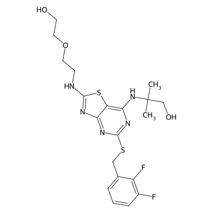 CC(C)(CO)Nc1nc(SCc2cccc(F)c2F)nc2nc(NCCOCCO)sc12